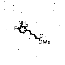 COC(=O)CCCCc1ccc(F)c(N)c1